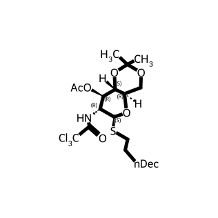 CCCCCCCCCCCCS[C@@H]1O[C@@H]2COC(C)(C)O[C@H]2[C@H](OC(C)=O)[C@H]1NC(=O)C(Cl)(Cl)Cl